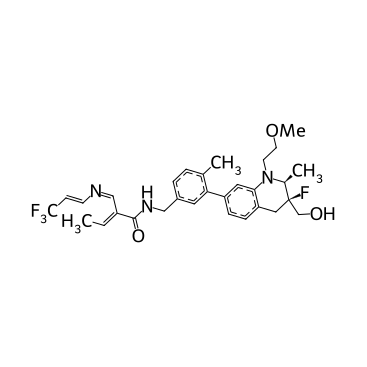 C\C=C(/C=N\C=C\C(F)(F)F)C(=O)NCc1ccc(C)c(-c2ccc3c(c2)N(CCOC)[C@@H](C)[C@](F)(CO)C3)c1